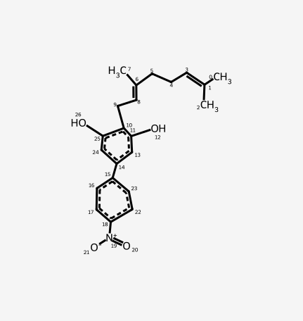 CC(C)=CCC/C(C)=C/Cc1c(O)cc(-c2ccc([N+](=O)[O-])cc2)cc1O